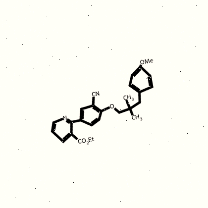 CCOC(=O)c1cccnc1-c1ccc(OCC(C)(C)Cc2ccc(OC)cc2)c(C#N)c1